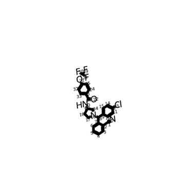 N#Cc1ccccc1C(c1ccc(Cl)cc1)N1CC[C@@H](NC(=O)c2ccc(OC(F)(F)F)cc2)C1